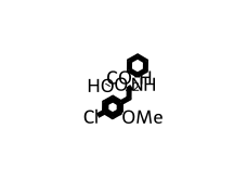 COc1cc(Cl)ccc1CC(=O)NC1CCCCC1.O=C(O)O